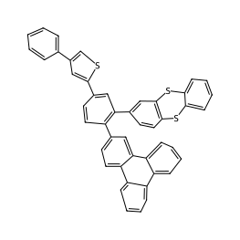 c1ccc(-c2csc(-c3ccc(-c4ccc5c6ccccc6c6ccccc6c5c4)c(-c4ccc5c(c4)Sc4ccccc4S5)c3)c2)cc1